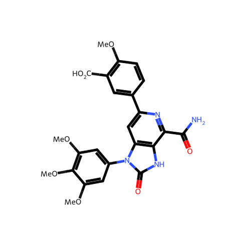 COc1ccc(-c2cc3c([nH]c(=O)n3-c3cc(OC)c(OC)c(OC)c3)c(C(N)=O)n2)cc1C(=O)O